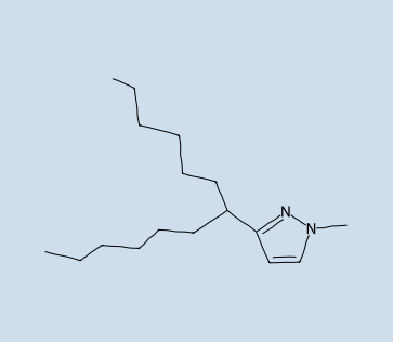 CCCCCCC(CCCCCC)c1ccn(C)n1